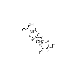 O=C(O)N1CCC(O)(Cc2cc(F)cc(F)c2)CC1